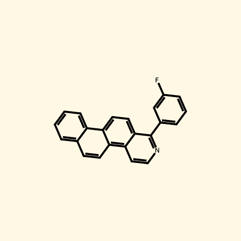 Fc1cccc(-c2nccc3c2ccc2c4ccccc4ccc32)c1